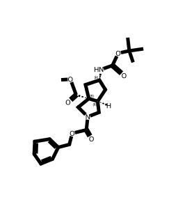 COC(=O)[C@]12C[C@H](NC(=O)OC(C)(C)C)C[C@H]1CN(C(=O)OCc1ccccc1)C2